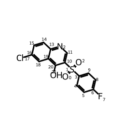 O=S(=O)(c1ccc(F)cc1)c1cnc2ccc(Cl)cc2c1O